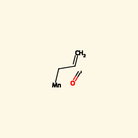 C=C[CH2][Mn].[C]=O